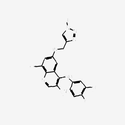 CC(C)(C)n1cc(CNc2cc(Cl)c3ncc(C#N)c(Nc4ccc(F)c(Cl)c4)c3c2)nn1